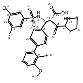 COc1cccc(-c2ccc([C@H](NS(=O)(=O)c3cc(Cl)cc(Cl)c3)[C@H](C(=O)O)C(=O)C3CCCN3)cc2)c1F